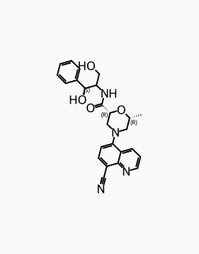 C[C@@H]1CN(c2ccc(C#N)c3ncccc23)C[C@H](C(=O)NC(CO)[C@@H](O)c2ccccc2)O1